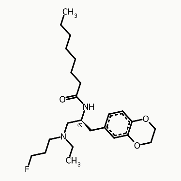 CCCCCCCC(=O)N[C@@H](Cc1ccc2c(c1)OCCO2)CN(CC)CCCF